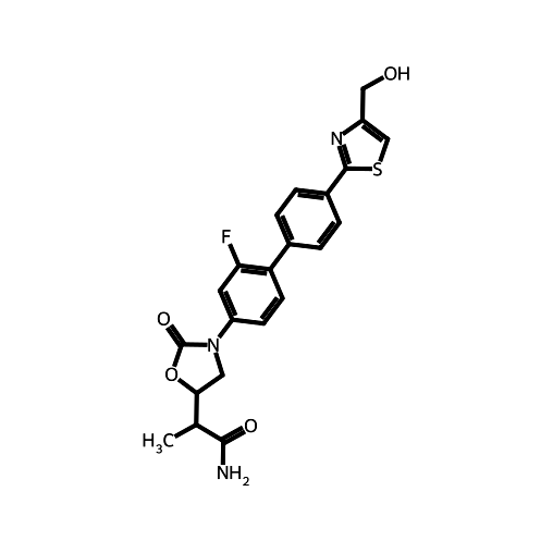 CC(C(N)=O)C1CN(c2ccc(-c3ccc(-c4nc(CO)cs4)cc3)c(F)c2)C(=O)O1